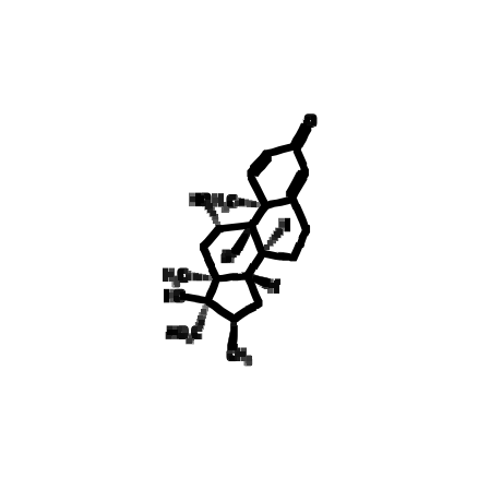 C[C@@H]1C[C@H]2[C@@H]3CCC4=CC(=O)C=C[C@]4(C)[C@@]3(Br)[C@@H](O)C[C@]2(C)[C@@]1(O)C(=O)O